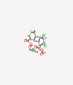 CCCCOOC(=O)c1ccccc1.O=C(OO)c1ccc(Cl)cc1Cl